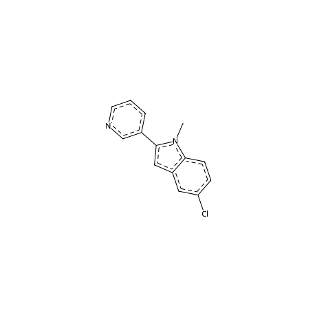 Cn1c(-c2cccnc2)cc2cc(Cl)ccc21